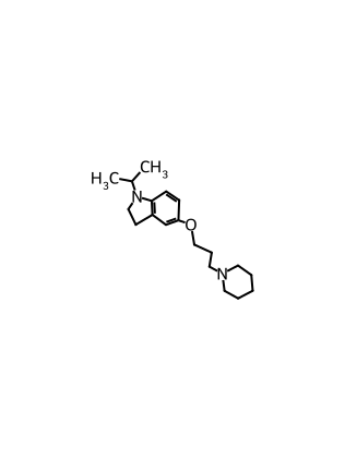 CC(C)N1CCc2cc(OCCCN3CCCCC3)ccc21